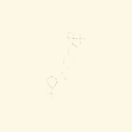 O=C(NC1CCC(CS(=O)(=O)c2cccc(C(F)(F)F)c2)CC1)C1(C(F)(F)F)CCC1